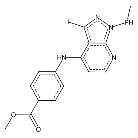 COC(=O)c1ccc(Nc2ccnc3c2c(I)nn3PC)cc1